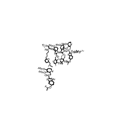 CN/C(=C/[N+](=O)[O-])NCCSCc1ccc(CN(C)C)o1.COc1ccc2[nH]c([S@@+]([O-])Cc3ncc(C)c(OC)c3C)nc2c1.COc1ccc2[nH]c([S@@+]([O-])Cc3ncc(C)c(OC)c3C)nc2c1.COc1ccnc(C[S+]([O-])c2nc3cc(OC(F)F)ccc3[nH]2)c1OC.COc1ccnc(C[S+]([O-])c2nc3cc(OC(F)F)ccc3[nH]2)c1OC.[Mg+2].[Na+].[Na+]